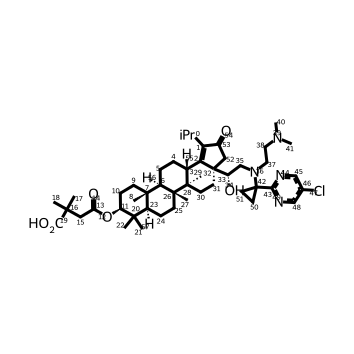 CC(C)C1=C2[C@H]3CC[C@@H]4[C@@]5(C)CC[C@H](OC(=O)CC(C)(C)C(=O)O)C(C)(C)[C@@H]5CC[C@@]4(C)[C@]3(C)CC[C@@]2([C@@H](O)CN(CCN(C)C)C2(c3ncc(Cl)cn3)CC2)CC1=O